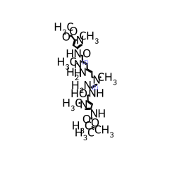 CN/C(=C\C(N)=CCN(C)/C=C(\N)NC(O)c1cc(NC(=O)OC(C)(C)C)cn1C)C(=O)Nc1cc(C(=O)OC)n(C)c1